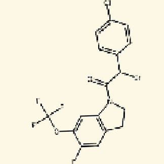 O=C(C(Br)c1ccc(Cl)cc1)N1CCc2cc(F)c(OC(F)(F)F)cc21